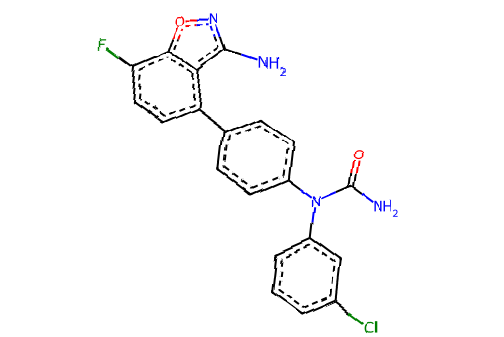 NC(=O)N(c1ccc(-c2ccc(F)c3onc(N)c23)cc1)c1cccc(Cl)c1